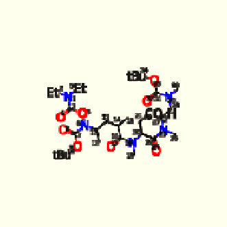 CCN(CC)C(=O)ON(C(=O)OC(C)(C)C)C(C)CC(C)C(=O)N(C)[C@@H](CC(=O)O)C(=O)N(C)CCN(C)C(=O)OC(C)(C)C